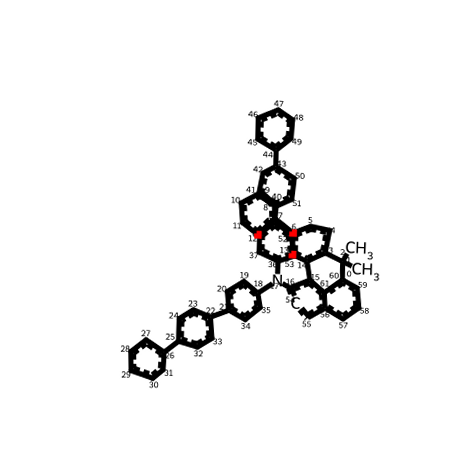 CC1(C)c2ccc(-c3ccccc3)cc2-c2c(N(c3ccc(-c4ccc(-c5ccccc5)cc4)cc3)c3ccc(-c4ccc(-c5ccccc5)cc4)cc3)ccc3cccc1c23